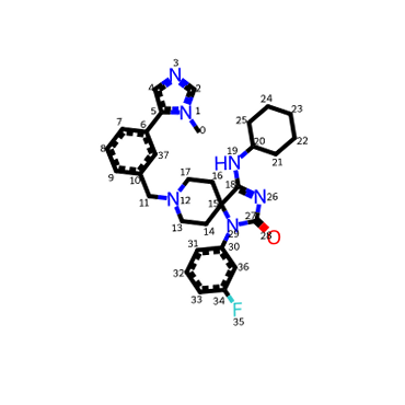 Cn1cncc1-c1cccc(CN2CCC3(CC2)C(NC2CCCCC2)=NC(=O)N3c2cccc(F)c2)c1